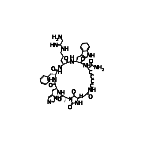 C[C@@H]1C(=O)N[C@@H](Cc2cnc[nH]2)C(=O)N[C@H](Cc2ccccc2)C(=O)N[C@@H](CCCNC(=N)CN)C(=O)N[C@@H](Cc2c[nH]c3ccccc23)C(=O)NC(C(N)=O)CCCCNC(=O)C[C@@H]2NC(=O)N1C2=O